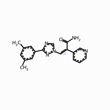 Cc1cc(C)cc(-c2ncn(/C=C(\C(N)=O)c3cccnc3)n2)c1